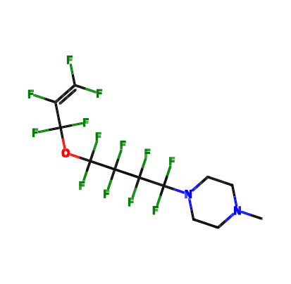 CN1CCN(C(F)(F)C(F)(F)C(F)(F)C(F)(F)OC(F)(F)C(F)=C(F)F)CC1